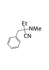 CCC(C#N)(Cc1ccccc1)NC